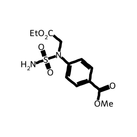 CCOC(=O)CN(c1ccc(C(=O)OC)cc1)S(N)(=O)=O